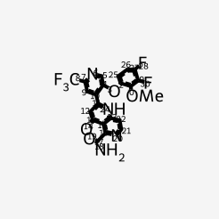 COc1c(Oc2cnc(C(F)(F)F)cc2-c2cc(=O)c3c(C(N)=O)nccc3[nH]2)ccc(F)c1F